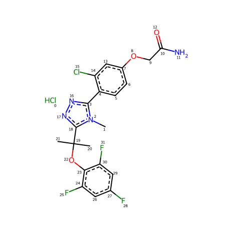 Cl.Cn1c(-c2ccc(OCC(N)=O)cc2Cl)nnc1C(C)(C)Oc1c(F)cc(F)cc1F